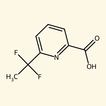 CC(F)(F)c1cccc(C(=O)O)n1